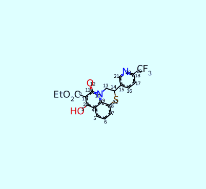 CCOC(=O)c1c(O)c2cccc3c2n(c1=O)CC(c1ccc(C(F)(F)F)nc1)S3